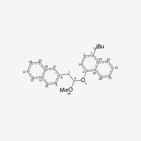 CCC(C)c1ccc(OC(Cc2ccc3ccccc3c2)OC)c2ccccc12